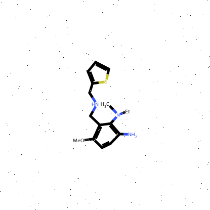 CCN(C)c1c(N)ccc(OC)c1CNCc1cccs1